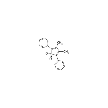 CC1=C(c2ccccc2)S(=O)(=O)C(c2ccccc2)=C1C